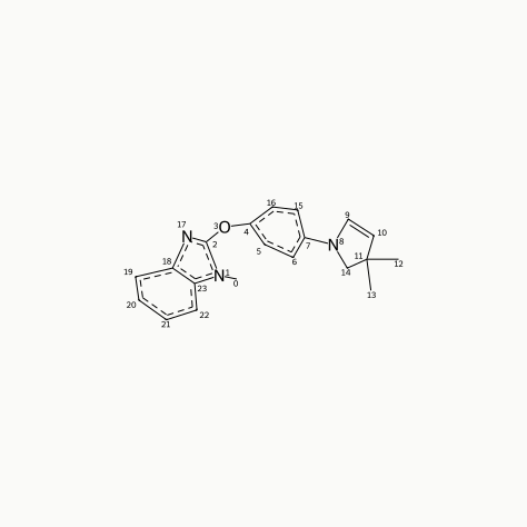 Cn1c(Oc2ccc(N3C=CC(C)(C)C3)cc2)nc2ccccc21